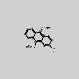 CCCCCc1c2ccccc2c(CCCCC)c2cc(CC)ccc12